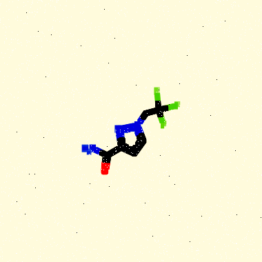 NC(=O)c1ccn(CC(F)(F)F)n1